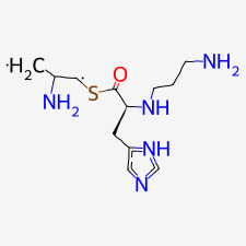 [CH2]C(N)[CH]SC(=O)[C@H](Cc1cnc[nH]1)NCCCN